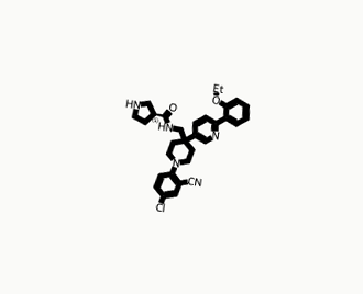 CCOc1ccccc1-c1ccc(C2(CNC(=O)[C@H]3CCNC3)CCN(c3ccc(Cl)cc3C#N)CC2)cn1